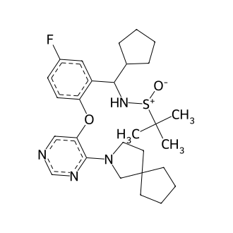 CC(C)(C)[S+]([O-])NC(c1cc(F)ccc1Oc1cncnc1N1CCC2(CCCC2)C1)C1CCCC1